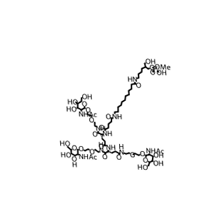 COP(=O)(O)OCC(CO)CCCCNC(=O)CCCCCCCCCCCNC(=O)CCCC(=O)N[C@@H](CCC(=O)N[C@@H](CCC(=O)NCCOCCOC1OC(CO)C(O)C(O)C1NC(C)=O)C(=O)NCCOCCOC1OC(CO)C(O)C(O)C1NC(C)=O)C(=O)NCCOCCOC1OC(CO)C(O)C(O)C1NC(C)=O